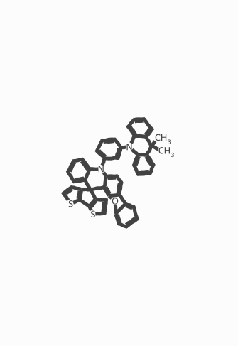 CC1(C)c2ccccc2N(c2cccc(N3c4ccccc4C4(c5ccsc5-c5sccc54)c4c3ccc3c4oc4ccccc43)c2)c2ccccc21